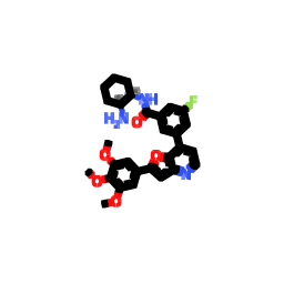 COc1cc(-c2cc3nccc(-c4cc(F)cc(C(=O)N[C@@H]5CCCC[C@@H]5N)c4)c3o2)cc(OC)c1OC